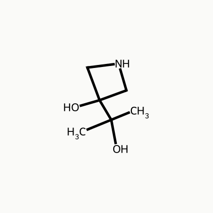 CC(C)(O)C1(O)CNC1